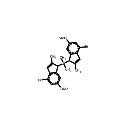 COc1cc(Br)c2c(c1)C([Si](C)(C)C1C(C)=Cc3c(Br)cc(OC)cc31)C(C)=C2